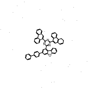 C1=Cc2cc(-c3nc(-c4cc5ccccc5c5ccccc45)nc(-c4cc(-c5ccc(-c6ccccc6)cc5)cc5oc6ccccc6c45)n3)c3ccccc3c2CC1